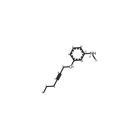 CCCC#CCOc1cccc(NC)c1